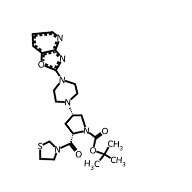 CC(C)(C)OC(=O)N1C[C@@H](N2CCN(c3nc4ncccc4o3)CC2)C[C@H]1C(=O)N1CCSC1